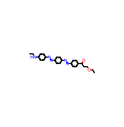 CCNc1ccc(N=Nc2ccc(N=Nc3ccc(C(=O)CCOCC)cc3)cc2)cc1